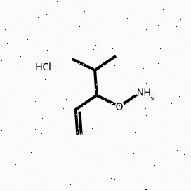 C=CC(ON)C(C)C.Cl